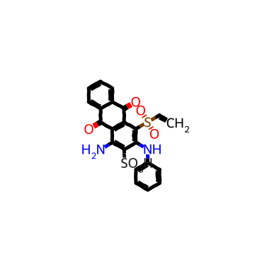 C=CS(=O)(=O)c1c(Nc2ccccc2)c(S(=O)(=O)O)c(N)c2c1C(=O)c1ccccc1C2=O